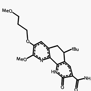 COCCCOc1cc2c(nc1OC)-c1[nH]c(=O)c(C(N)=O)cc1C(C(C)(C)C)C2